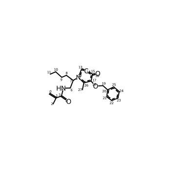 C=C(C)C(=O)NCC(CCCC)n1ccc(=O)c(OCc2ccccc2)c1C